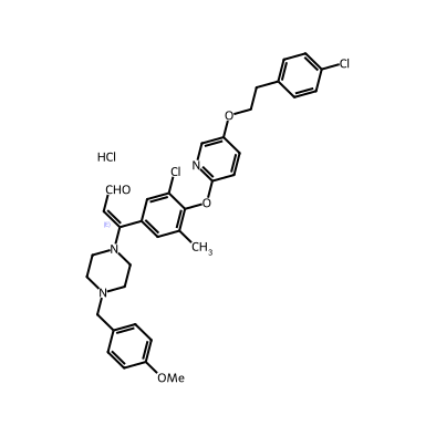 COc1ccc(CN2CCN(/C(=C/C=O)c3cc(C)c(Oc4ccc(OCCc5ccc(Cl)cc5)cn4)c(Cl)c3)CC2)cc1.Cl